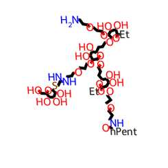 CCCCCC(=O)NCCCOCCCOC1C(OCC)OC(CCCOC2OC(CCCOC3OC(CC)C(O)C(O)C3OCCCOCCCN)C(O)C(O)C2OCCCOCCCNC(=N)CSC2OC(CO)C(O)C(O)C2O)C(O)C1O